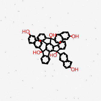 Oc1ccc2cc(C3(O)c4ccccc4-c4c3c3c(c5c4C(O)(c4ccc6cc(O)ccc6c4)c4ccccc4-5)C(O)(c4ccc5cc(O)ccc5c4)c4ccccc4-3)ccc2c1